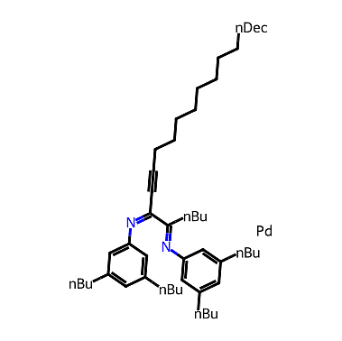 CCCCCCCCCCCCCCCCCCC#CC(=Nc1cc(CCCC)cc(CCCC)c1)C(CCCC)=Nc1cc(CCCC)cc(CCCC)c1.[Pd]